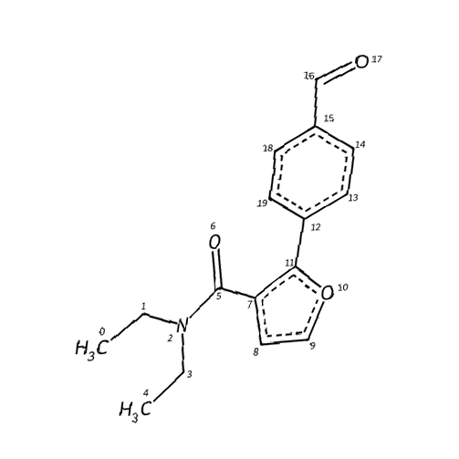 CCN(CC)C(=O)c1ccoc1-c1ccc(C=O)cc1